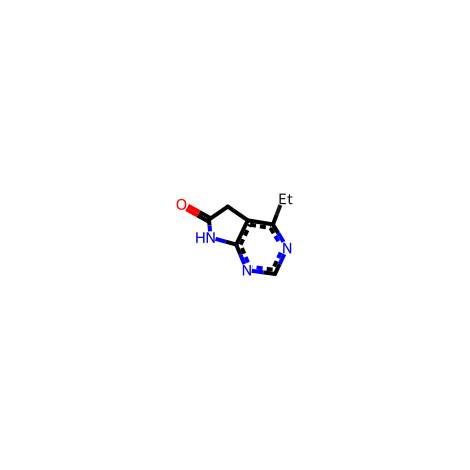 CCc1ncnc2c1CC(=O)N2